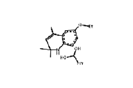 CCCC(O)O.CCOc1ccc2c(c1)C(C)=CC(C)(C)N2